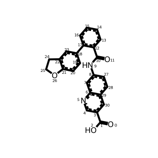 O=C(O)c1cnc2cc(NC(=O)c3ccccc3-c3ccc4c(c3)CCO4)ccc2c1